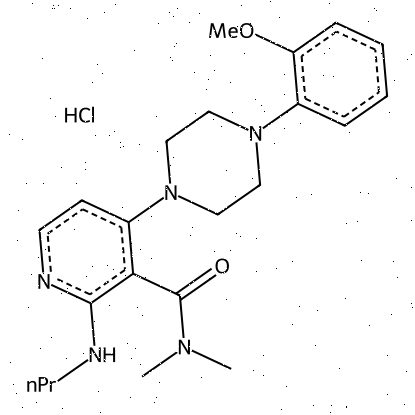 CCCNc1nccc(N2CCN(c3ccccc3OC)CC2)c1C(=O)N(C)C.Cl